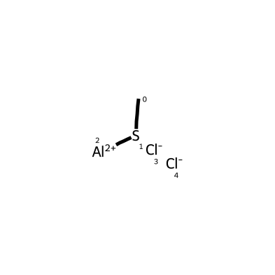 C[S][Al+2].[Cl-].[Cl-]